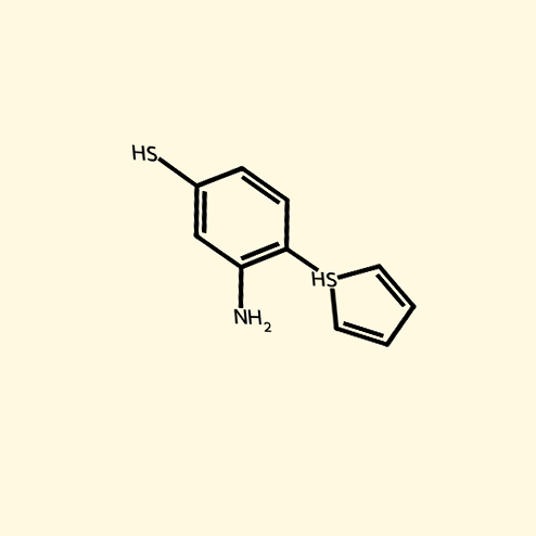 Nc1cc(S)ccc1[SH]1C=CC=C1